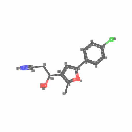 Cc1oc(-c2ccc(Cl)cc2)cc1C(O)CC#N